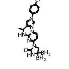 BC1(B)CN(c2ccnc(NC(C)c3cn(-c4ccc(Cl)cc4)cn3)n2)C(=O)N1